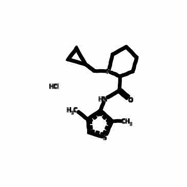 Cc1csc(C)c1NC(=O)C1CCCCN1CC1CC1.Cl